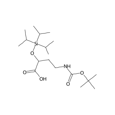 CC(C)[Si](OC(CCNC(=O)OC(C)(C)C)C(=O)O)(C(C)C)C(C)C